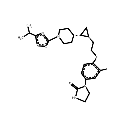 CC(C)c1noc(N2CCC([C@@H]3C[C@H]3CCOc3ccc(N4CCNC4=O)cc3F)CC2)n1